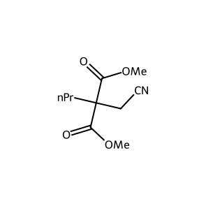 CCCC(CC#N)(C(=O)OC)C(=O)OC